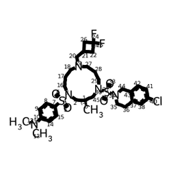 C[C@H]1CN(S(=O)(=O)c2ccc(N(C)C)cc2)CCCN(CC2CC(F)(F)C2)CCCN(S(=O)(=O)N2CCc3cc(Cl)ccc3C2)C1